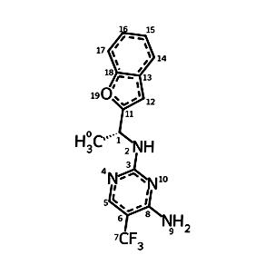 C[C@@H](Nc1ncc(C(F)(F)F)c(N)n1)c1cc2ccccc2o1